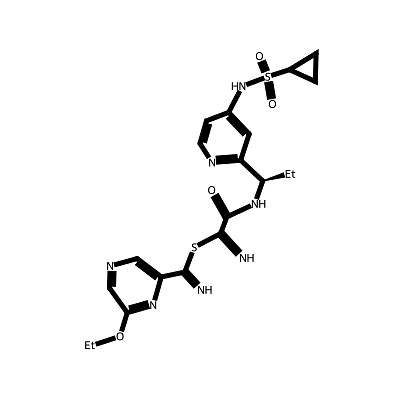 CCOc1cncc(C(=N)SC(=N)C(=O)N[C@H](CC)c2cc(NS(=O)(=O)C3CC3)ccn2)n1